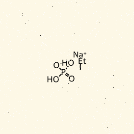 CCC.O=P([O-])(O)O.[Na+]